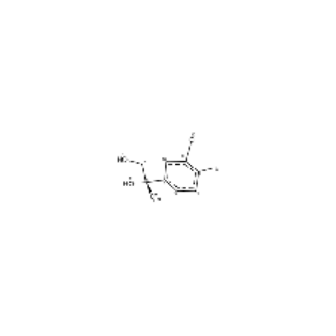 Cc1ccc([C@](O)(CO)C(F)(F)F)cc1Cl